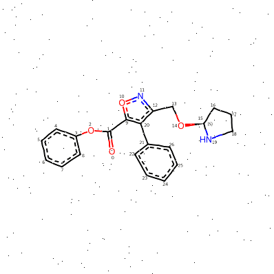 O=C(Oc1ccccc1)c1onc(CO[C@H]2CCCN2)c1-c1ccccc1